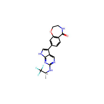 C[C@@H](Nc1ncc2c(-c3ccc4c(c3)OCCNC4=O)c[nH]c2n1)C(F)(F)F